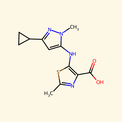 Cc1nc(C(=O)O)c(Nc2cc(C3CC3)nn2C)s1